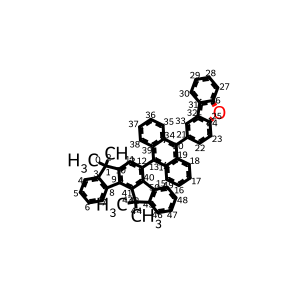 CC1(C)c2ccccc2-c2c1cc(-c1c3ccccc3c(-c3ccc4oc5ccccc5c4c3)c3ccccc13)c1c2C(C)(C)c2ccccc2-1